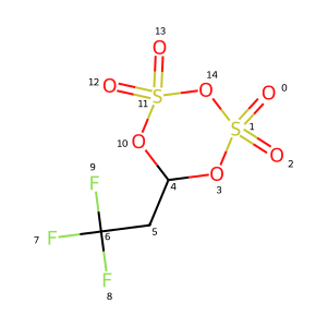 O=S1(=O)OC(CC(F)(F)F)OS(=O)(=O)O1